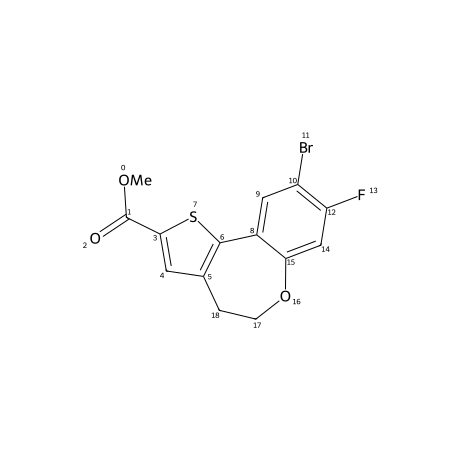 COC(=O)c1cc2c(s1)-c1cc(Br)c(F)cc1OCC2